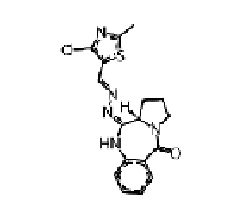 Cc1nc(Cl)c(C=N/N=C2/Nc3ccccc3C(=O)N3CCC[C@@H]23)s1